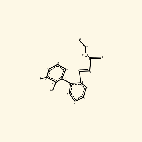 C=C(/C=C/c1ccccc1-c1cccc(C)c1C)OCC